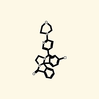 O=C(c1ccc(N2CCOCC2)nc1)N1CCN2C(=O)c3ccccc3C12c1ccc(Cl)cc1